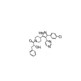 O=C(C(O)Cc1ccccc1)N1CCC(c2[nH]nc(-c3ccc(Cl)cc3)c2-c2ccncn2)CC1